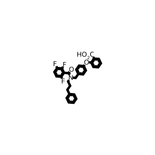 O=C(O)c1ccccc1Oc1ccc(CN(CCCc2ccccc2)C(=O)c2c(F)ccc(F)c2F)cc1